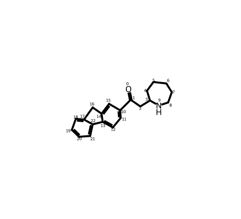 O=C(CC1CCCCCN1)c1ccc2c(c1)Cc1ccccc1-2